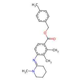 Cc1ccc(COC(=O)c2ccc(/N=C3\CCCCN3C)c(C)c2C)cc1